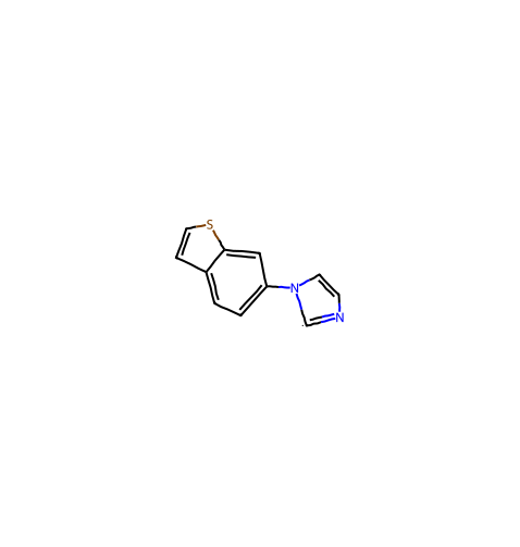 [c]1nccn1-c1ccc2ccsc2c1